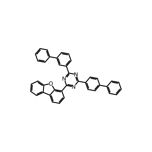 c1ccc(-c2ccc(-c3nc(-c4cccc(-c5ccccc5)c4)nc(-c4cccc5c4oc4ccccc45)n3)cc2)cc1